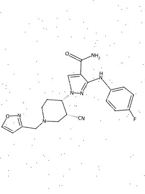 N#C[C@@H]1CN(Cc2ccon2)CC[C@@H]1n1cc(C(N)=O)c(Nc2ccc(F)cc2)n1